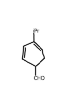 CC(C)C1=CCC(C=O)C=C1